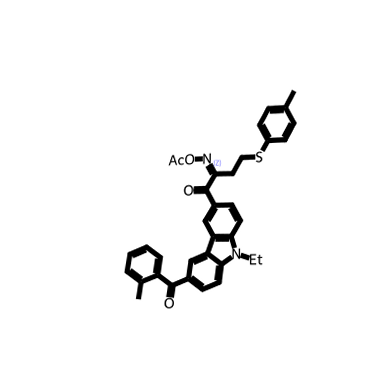 CCn1c2ccc(C(=O)/C(CCSc3ccc(C)cc3)=N\OC(C)=O)cc2c2cc(C(=O)c3ccccc3C)ccc21